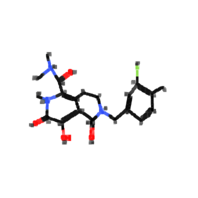 Cc1ccc(CN2CCc3c(c(O)c(=O)n(C)c3C(=O)N(C)C)C2=O)cc1F